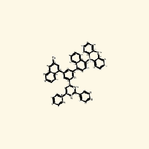 Fc1cc(-c2cc(-c3cc(-c4ccccc4)nc(-c4ccccc4)n3)cc(-c3ccc(N4c5ccccc5Sc5ccccc54)c4ccccc34)c2)c2ccccc2c1